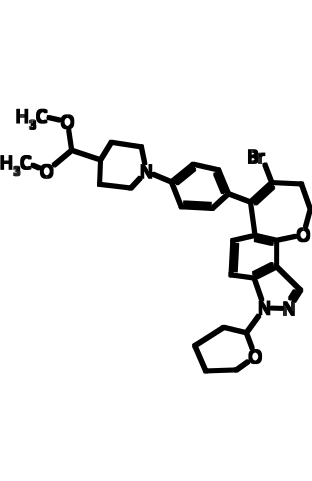 COC(OC)C1CCN(c2ccc(C3=C(Br)CCOc4c3ccc3c4cnn3C3CCCCO3)cc2)CC1